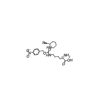 N#CC1CCCCN1.N[C@@H](CCCCNC(=O)OCc1ccc([N+](=O)[O-])cc1)C(=O)O